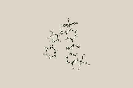 Cc1ccc(NC(=O)c2ccc(S(C)(=O)=O)c(Nc3nc(-c4cccnc4)cs3)c2)cc1C(F)(F)F